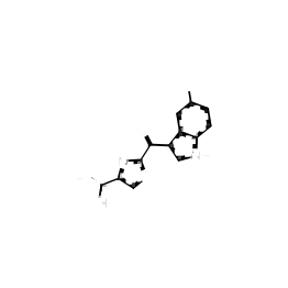 CC[C@H](O)c1csc(C(=O)c2c[nH]c3ccc(F)cc23)n1